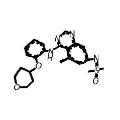 Cc1cc(N=S(C)(C)=O)cc2ncnc(Nc3ccccc3OC3CCOCC3)c12